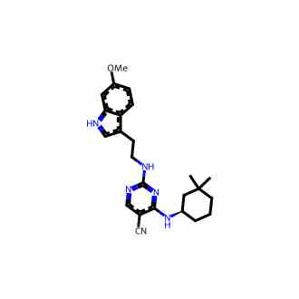 COc1ccc2c(CCNc3ncc(C#N)c(N[C@@H]4CCCC(C)(C)C4)n3)c[nH]c2c1